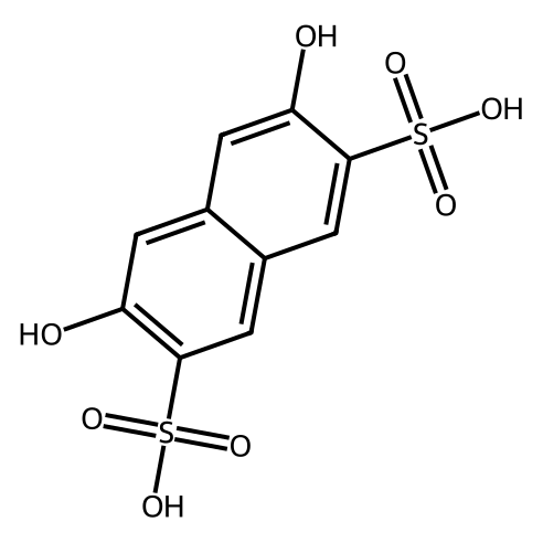 O=S(=O)(O)c1cc2cc(S(=O)(=O)O)c(O)cc2cc1O